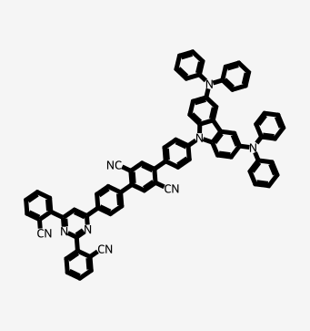 N#Cc1cc(-c2ccc(-n3c4ccc(N(c5ccccc5)c5ccccc5)cc4c4cc(N(c5ccccc5)c5ccccc5)ccc43)cc2)c(C#N)cc1-c1ccc(-c2cc(-c3ccccc3C#N)nc(-c3ccccc3C#N)n2)cc1